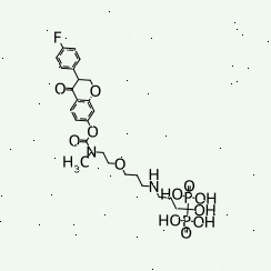 CN(CCOCCCNCCCC(O)(P(=O)(O)O)P(=O)(O)O)C(=O)Oc1ccc2c(c1)OCC(c1ccc(F)cc1)C2=O